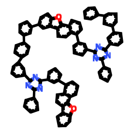 c1ccc(-c2cccc(-c3cccc(-c4nc(-c5ccccc5)nc(-c5cccc(-c6cccc7c6ccc6c8cc(-c9cccc(-c%10ccc(-c%11cccc(-c%12nc(-c%13ccccc%13)nc(-c%13cccc(-c%14cccc%15c%14ccc%14c%16ccccc%16oc%15%14)c%13)n%12)c%11)cc%10)c9)ccc8oc76)c5)n4)c3)c2)cc1